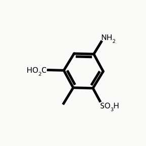 Cc1c(C(=O)O)cc(N)cc1S(=O)(=O)O